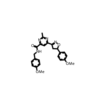 COc1ccc(CNC(=O)c2cc(C3=NOC(c4ccc(OC)cc4)C3)nc(C)n2)cc1